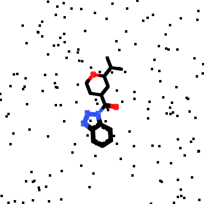 CC(C)C1CC(C(=O)n2nnc3ccccc32)CCO1